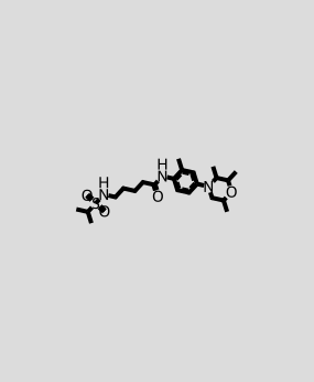 Cc1cc(N2CC(C)OC(C)C2C)ccc1NC(=O)CCCCNS(=O)(=O)C(C)C